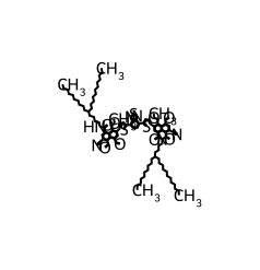 CCCCCCCCCCCCC(CCCCCCCCCC)CCCCNC(=O)c1cc(C#N)c(C=O)c2c(C=O)cc(-c3ccc(-c4ccc(-c5ccc(-c6cc7c8c(c(C#N)cc(C=O)c8c6COC)C(=O)N(CCCCC(CCCCCCCCCC)CCCCCCCCCCCC)C7=O)s5)c5nsnc45)s3)c(COC)c12